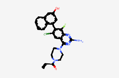 C=CC(=O)N1CCN(c2nc(N)nc3c(F)c(-c4cc(O)cc5ccccc45)c(Cl)cc23)CC1